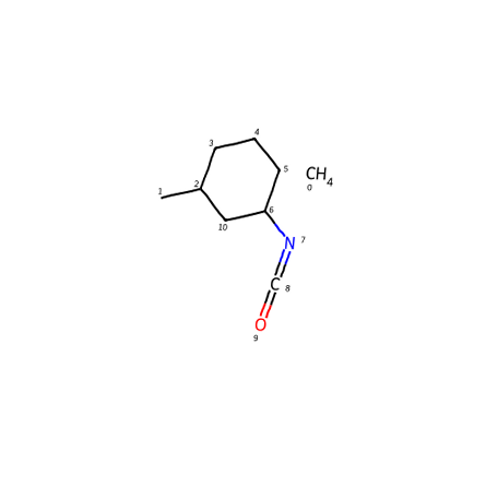 C.CC1CCCC(N=C=O)C1